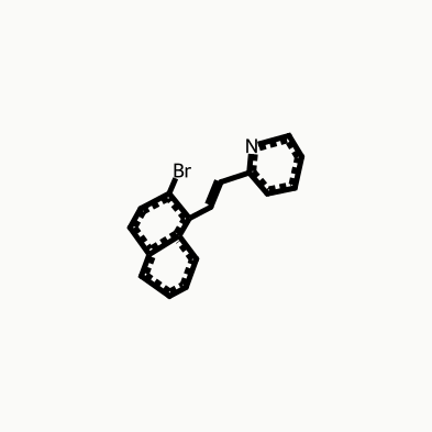 Brc1ccc2ccccc2c1C=Cc1ccccn1